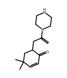 C=C(CC1CC(C)(C)C=CC1=O)N1CCNCC1